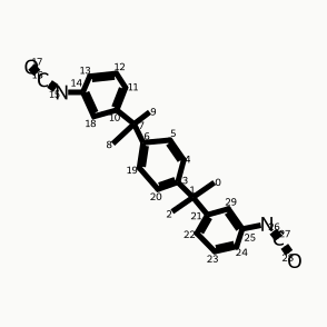 CC(C)(c1ccc(C(C)(C)c2cccc(N=C=O)c2)cc1)c1cccc(N=C=O)c1